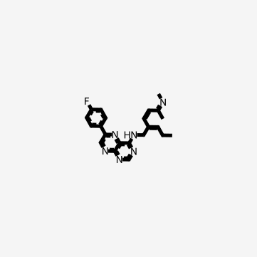 CC/C=C(/C=C\C(C)=N/C)CNc1ncnc2ncc(-c3ccc(F)cc3)nc12